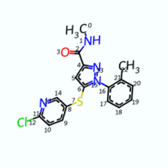 CNC(=O)c1cc(Sc2ccc(Cl)nc2)n(-c2ccccc2C)n1